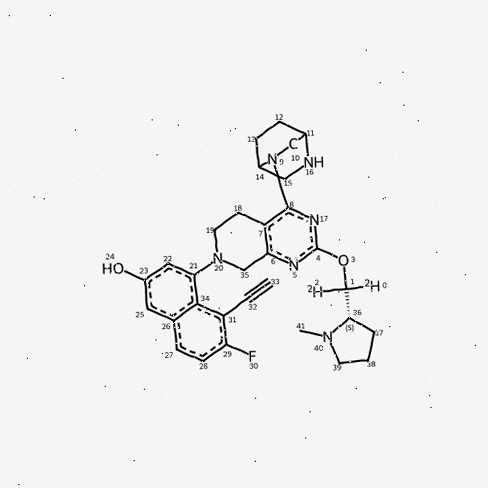 [2H]C([2H])(Oc1nc2c(c(N3CC4CCC3CN4)n1)CCN(c1cc(O)cc3ccc(F)c(C#C)c13)C2)[C@@H]1CCCN1C